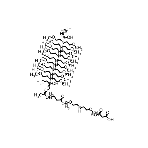 Br.CC(=O)O.CCC(=O)O.CCCC(=O)O.COCCNCCOC.COCCNCCOC.COCCNCCOC.COCCNCCOC.COCCNCCOC.COCCNCCOC.COCCNCCOC.COCCNCCOC.COCCNCCOC.COCCNCCOC.Cl.I.O=C(O)CC(=O)O.O=CO